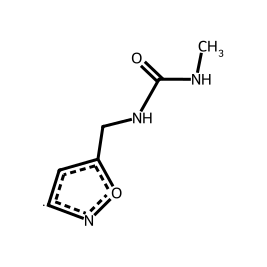 CNC(=O)NCc1c[c]no1